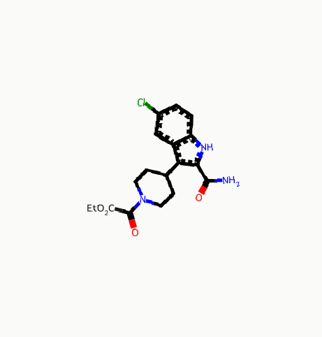 CCOC(=O)C(=O)N1CCC(c2c(C(N)=O)[nH]c3ccc(Cl)cc23)CC1